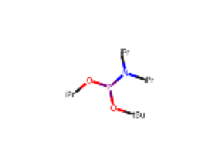 CC(C)OP(OC(C)(C)C)N(C(C)C)C(C)C